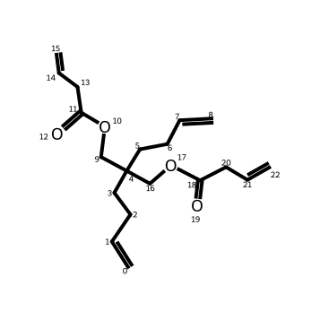 C=CCCC(CCC=C)(COC(=O)CC=C)COC(=O)CC=C